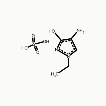 CCn1cc(N)c(O)n1.O=S(=O)(O)O